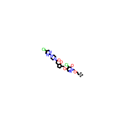 C[Si](C)(C)CCOCn1ncc(OCC2CCC(CC(=O)N3CCN(c4ncc(Cl)cn4)CC3)C2=O)c(Cl)c1=O